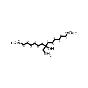 CCCCCCCCCCCCCCCCC(O)(CN)CCCCCCCCCCCCCCCC